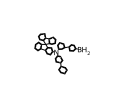 Bc1ccc(-c2cccc(N(c3ccc(-c4ccccc4)cc3)c3ccc4c(c3)C3(c5ccccc5-c5ccccc53)c3ccccc3-4)c2)cc1